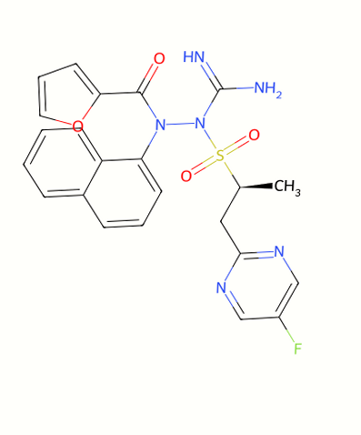 C[C@@H](Cc1ncc(F)cn1)S(=O)(=O)N(C(=N)N)N(C(=O)c1ccco1)c1cccc2ccccc12